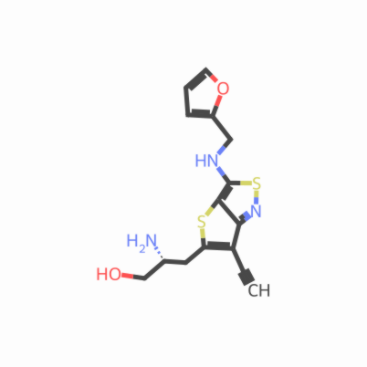 C#Cc1c(C[C@@H](N)CO)sc2c(NCc3ccco3)snc12